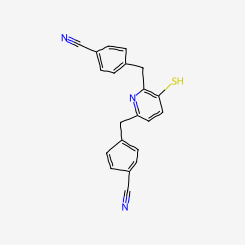 N#Cc1ccc(Cc2ccc(S)c(Cc3ccc(C#N)cc3)n2)cc1